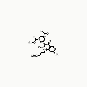 COCCCNc1nc(C(C)(C)C)ncc1C(=O)N(CC(C)C)[C@H]1C[C@@H](C(=O)C(C)C)CN(C(=O)OC(C)(C)C)C1